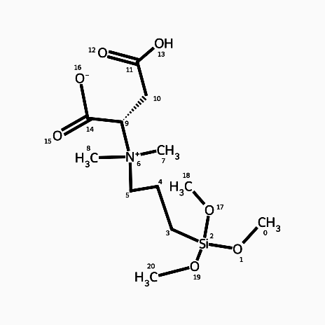 CO[Si](CCC[N+](C)(C)[C@@H](CC(=O)O)C(=O)[O-])(OC)OC